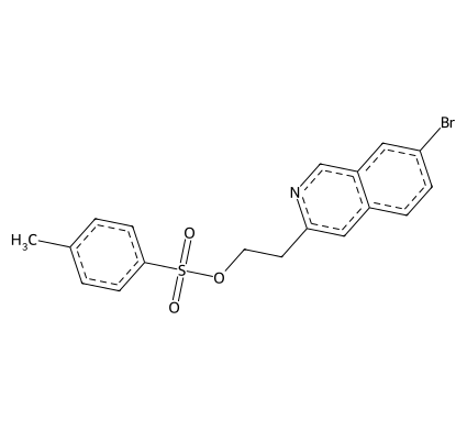 Cc1ccc(S(=O)(=O)OCCc2cc3ccc(Br)cc3cn2)cc1